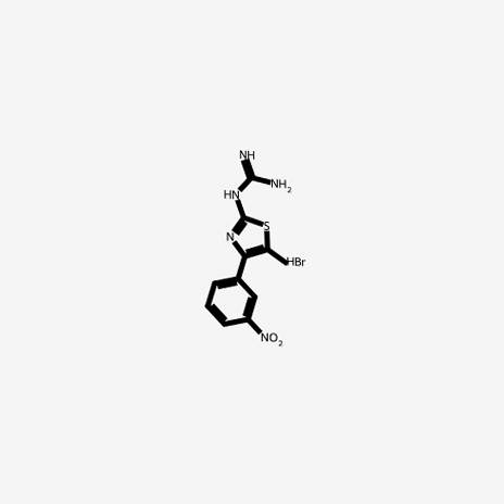 Br.Cc1sc(NC(=N)N)nc1-c1cccc([N+](=O)[O-])c1